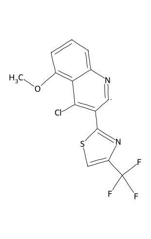 COc1cccc2n[c]c(-c3nc(C(F)(F)F)cs3)c(Cl)c12